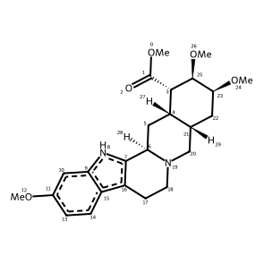 COC(=O)[C@H]1[C@H]2C[C@@H]3c4[nH]c5cc(OC)ccc5c4CCN3C[C@H]2C[C@H](OC)[C@@H]1OC